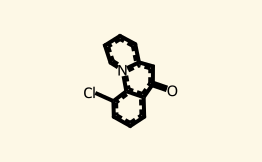 O=c1cc2ccccn2c2c(Cl)cccc12